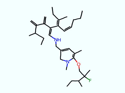 C=C(C(=C)C(C)CC)C(=C/NCC1=CC(C)=C(OCC(C)(F)C(C)CC)N(C)C1)/C(/C=C\CCC)=C(/C)CC